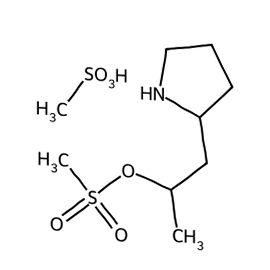 CC(CC1CCCN1)OS(C)(=O)=O.CS(=O)(=O)O